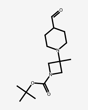 CC(C)(C)OC(=O)N1CC(C)(N2CCC(C=O)CC2)C1